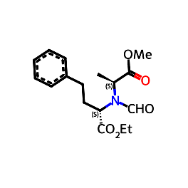 CCOC(=O)[C@H](CCc1ccccc1)N(C=O)[C@@H](C)C(=O)OC